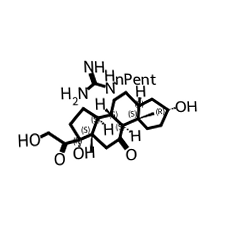 CCCCCNC(=N)N.C[C@]12CC[C@@H](O)C[C@H]1CC[C@@H]1[C@@H]2C(=O)C[C@@]2(C)[C@H]1CC[C@]2(O)C(=O)CO